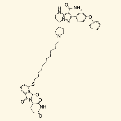 NC(=O)c1c(-c2ccc(Oc3ccccc3)cc2)nn2c1NCCC2C1CCN(CCCCCCCCCCCCSc2cccc3c2C(=O)N(C2CCC(=O)NC2=O)C3=O)CC1